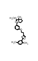 COC(=O)C1(C)CCCN1Cc1cccc(OCCc2coc(-c3cc(C)ccc3C)n2)c1